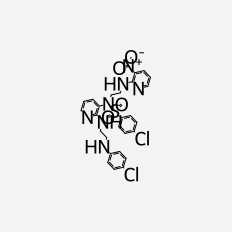 O=[N+]([O-])c1cccnc1NCCN(c1cccnc1NCCNc1ccc(Cl)cc1)S(=O)(=O)c1ccc(Cl)cc1